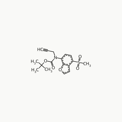 C#CCN(C(=O)OC(C)(C)C)c1ccc(S(C)(=O)=O)c2ccoc12